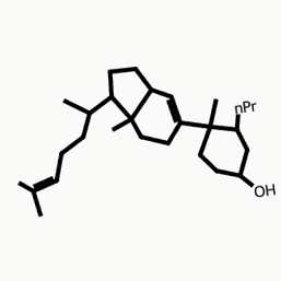 CCCC1CC(O)CCC1(C)C1=CC2CCC(C(C)CCC=C(C)C)C2(C)CC1